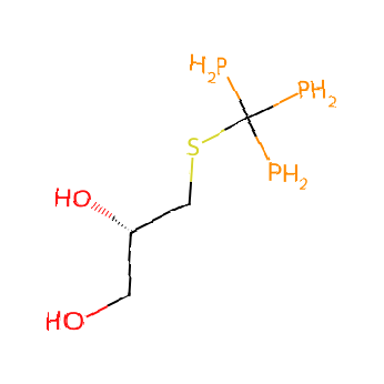 OC[C@H](O)CSC(P)(P)P